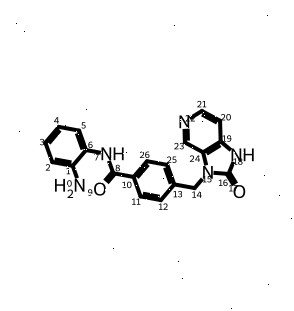 Nc1ccccc1NC(=O)c1ccc(Cn2c(=O)[nH]c3ccncc32)cc1